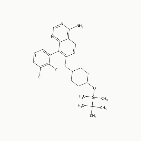 CC(C)(C)[Si](C)(C)OC1CCC(Oc2ccc3c(N)ncnc3c2-c2cccc(Cl)c2Cl)CC1